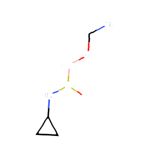 NCOB[S+]([O-])NC1CC1